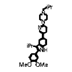 COc1ccc(-c2[nH]c3ccc(-c4ccc(N5CCN(CC(C)C)CC5)nc4)cc3c2C(C)C)cc1OC